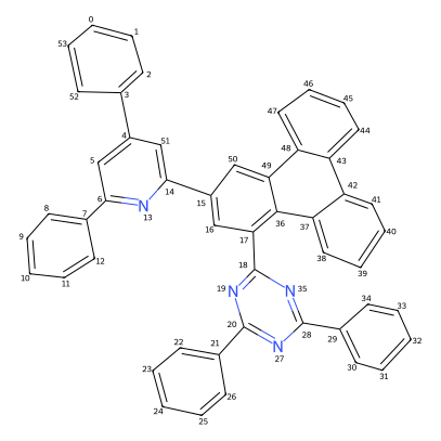 c1ccc(-c2cc(-c3ccccc3)nc(-c3cc(-c4nc(-c5ccccc5)nc(-c5ccccc5)n4)c4c5ccccc5c5ccccc5c4c3)c2)cc1